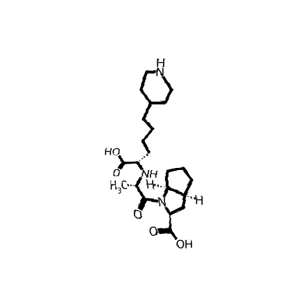 C[C@H](N[C@@H](CCCCC1CCNCC1)C(=O)O)C(=O)N1[C@H](C(=O)O)C[C@@H]2CCC[C@@H]21